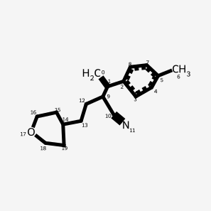 C=C(c1ccc(C)cc1)C(C#N)CCC1CCOCC1